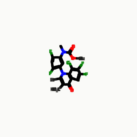 CCc1c(C(=O)O)c(=O)c2cc(F)c(F)c(Cl)c2n1-c1cc(N(C)C(=O)OC(C)(C)C)c(F)cc1F